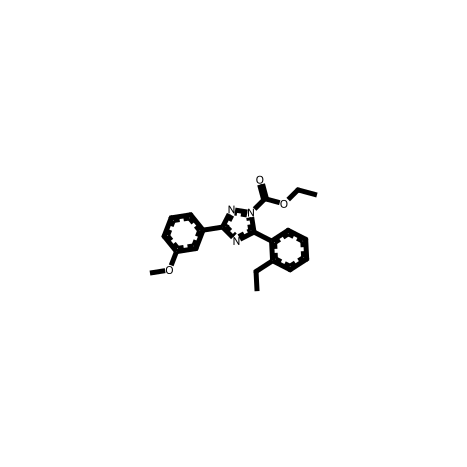 CCOC(=O)n1nc(-c2cccc(OC)c2)nc1-c1ccccc1CC